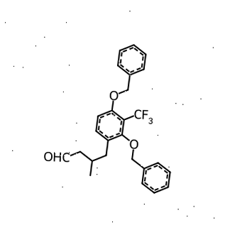 CC(CC=O)Cc1ccc(OCc2ccccc2)c(C(F)(F)F)c1OCc1ccccc1